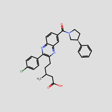 CC(CCc1nc2cc(C(=O)N3CC[C@@H](c4ccccc4)C3)ccc2nc1-c1ccc(Cl)cc1)CC(=O)O